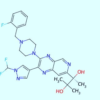 CC(C)(O)[C@](C)(O)c1cc2nc(-c3cnn(C(F)F)c3)c(N3CCN(Cc4ccccc4F)CC3)nc2cn1